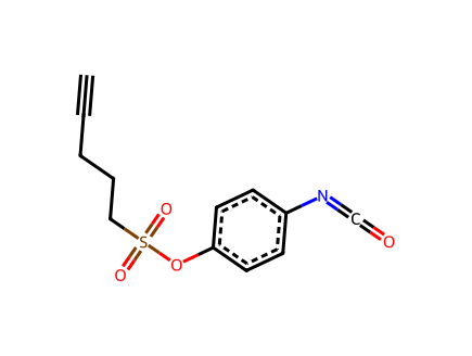 C#CCCCS(=O)(=O)Oc1ccc(N=C=O)cc1